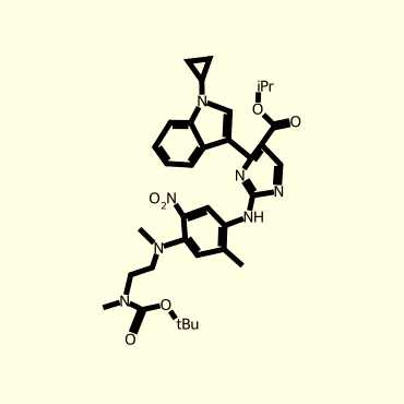 Cc1cc(N(C)CCN(C)C(=O)OC(C)(C)C)c([N+](=O)[O-])cc1Nc1ncc(C(=O)OC(C)C)c(-c2cn(C3CC3)c3ccccc23)n1